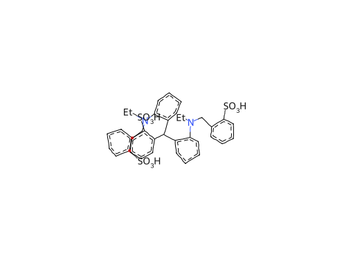 CCN(Cc1ccccc1S(=O)(=O)O)c1ccccc1C(c1ccccc1N(CC)Cc1ccccc1S(=O)(=O)O)c1ccccc1S(=O)(=O)O